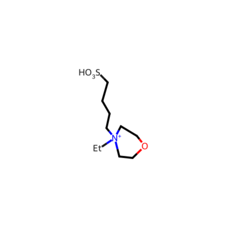 CC[N+]1(CCCCS(=O)(=O)O)CCOCC1